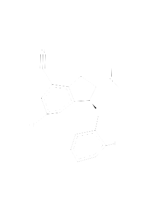 CN(C)[C@H]1Cc2c(C#N)cc(Cl)cc2[C@@H]1Oc1ccccc1F